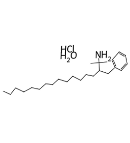 CCCCCCCCCCCCCCC(Cc1ccccc1)C(C)(C)N.Cl.O